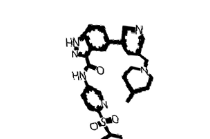 CC1CCN(Cc2cncc(-c3ccc4[nH]nc(C(=O)Nc5ccc(S(=O)(=O)C(C)C)nc5)c4c3)c2)CC1